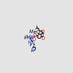 CO[C@H]1C([C@@]2(C)O[C@@H]2CC=C(C)C)[C@]2(CC[C@H]1OC(=O)N[C@H](c1cn(C[C@H]3CCN(C)C3)c(C)n1)C(C)C)CO2